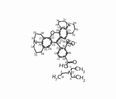 CCN(CC)CC.O=C(O)c1ccc(C2=c3cc4c5c(c3Oc3c2cc2c6c3CCCN6CCC2)CCC[N+]=5CCC4)c(C(=O)[O-])c1